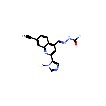 C#Cc1ccc2c(/C=N/NC(N)=O)cc(-c3cncn3C)nc2c1